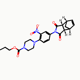 CCCOC(=O)N1CCN(c2ccc(N3C(=O)[C@@H]4[C@H](C3=O)[C@@H]3C=C[C@H]4C3)cc2[N+](=O)[O-])CC1